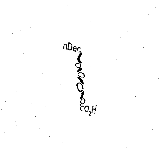 CCCCCCCCCCCCCOCCOCCOCCOCC(=O)O